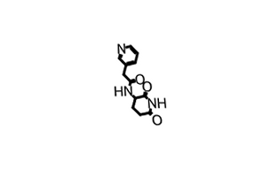 O=C1CCC(NC(=O)Cc2cccnc2)C(=O)N1